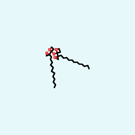 CCCCCCCCCCCCC1(C2(OC3(C4(CCCCCCCCCCCC)CO4)CCO3)CCO2)CO1